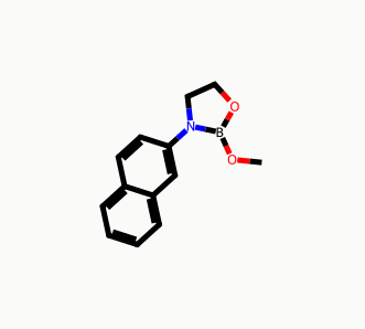 COB1OCCN1c1ccc2ccccc2c1